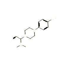 CN(C)C(C=O)N1CCN(c2ccc(N)cc2)CC1